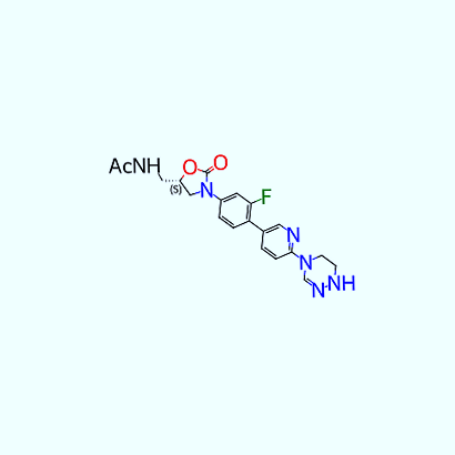 CC(=O)NC[C@H]1CN(c2ccc(-c3ccc(N4C=NNCC4)nc3)c(F)c2)C(=O)O1